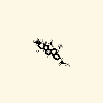 CC[C@H]1[C@@H](OC(C)=O)C2C3C[C@@H]4OC(O)(C(F)(F)F)C[C@@H](C)[C@@H]4[C@@]3(C)CCC2[C@@]2(C)CC[C@@H](OC(C)=O)C[C@@H]12